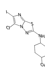 CC(=O)OC1CCC(Nc2nn3c(Cl)c(I)nc3s2)CC1